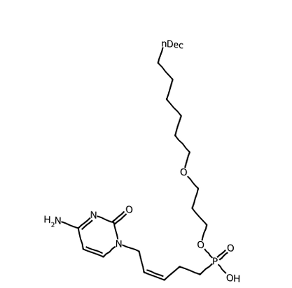 CCCCCCCCCCCCCCCCOCCCOP(=O)(O)CC/C=C\Cn1ccc(N)nc1=O